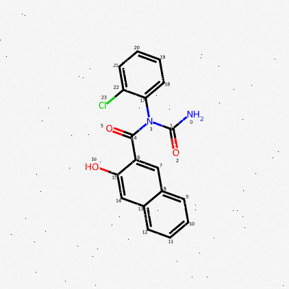 NC(=O)N(C(=O)c1cc2ccccc2cc1O)c1ccccc1Cl